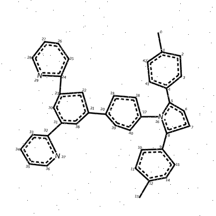 Cc1ccc(-c2ccc(-c3ccc(C)cc3)n2-c2ccc(-c3cc(-c4ccccn4)cc(-c4ccccn4)c3)cc2)cc1